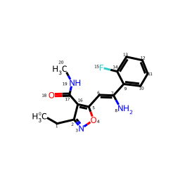 CCc1noc(/C=C(\N)c2ccccc2F)c1C(=O)NC